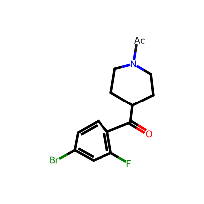 CC(=O)N1CCC(C(=O)c2ccc(Br)cc2F)CC1